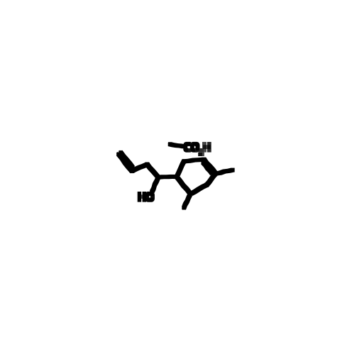 C=CCC(O)C1CC=C(C)CC1C.CC(=O)O